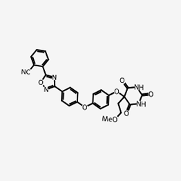 COCCC1(Oc2ccc(Oc3ccc(-c4noc(-c5ccccc5C#N)n4)cc3)cc2)C(=O)NC(=O)NC1=O